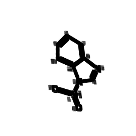 O=[SH](=O)n1cnc2ccccc21